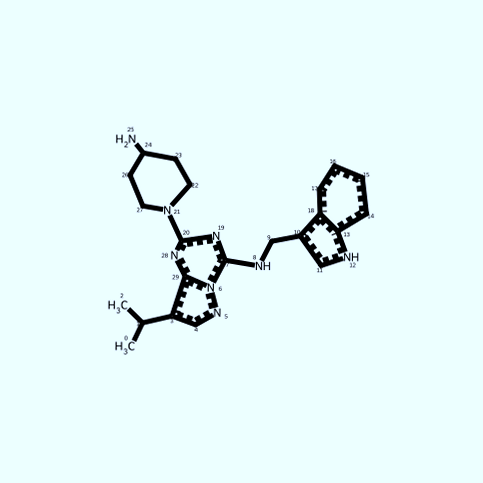 CC(C)c1cnn2c(NCc3c[nH]c4ccccc34)nc(N3CCC(N)CC3)nc12